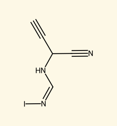 C#CC(C#N)N/C=N\I